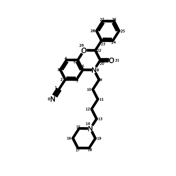 N#Cc1ccc2c(c1)N(CCCCCN1CCCCC1)C(=O)C(c1ccccc1)O2